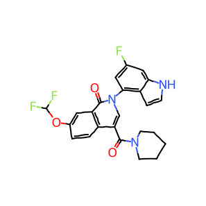 O=C(c1cn(-c2cc(F)cc3[nH]ccc23)c(=O)c2cc(OC(F)F)ccc12)N1CCCCC1